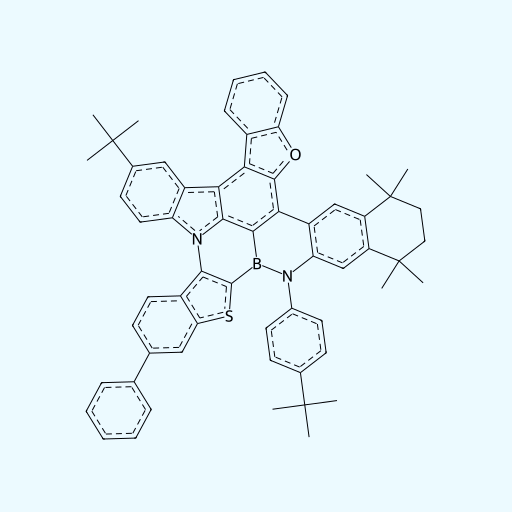 CC(C)(C)c1ccc(N2B3c4sc5cc(-c6ccccc6)ccc5c4-n4c5ccc(C(C)(C)C)cc5c5c6c(oc7ccccc76)c(c3c54)-c3cc4c(cc32)C(C)(C)CCC4(C)C)cc1